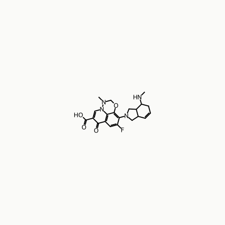 CNC1CC=CC2CN(c3c(F)cc4c(=O)c(C(=O)O)cn5c4c3OCN5C)CC21